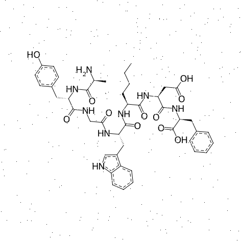 CCCC[C@H](NC(=O)[C@H](Cc1c[nH]c2ccccc12)NC(=O)CNC(=O)[C@H](Cc1ccc(O)cc1)NC(=O)[C@H](C)N)C(=O)N[C@@H](CC(=O)O)C(=O)N[C@@H](Cc1ccccc1)C(=O)O